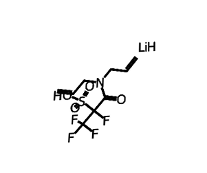 C=CCN(CC=C)C(=O)C(F)(C(F)(F)F)S(=O)(=O)O.[LiH]